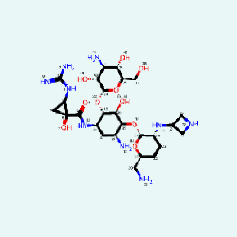 N=C(N)NC1CC1(O)C(=O)N[C@@H]1C[C@H](N)C(O[C@H]2O[C@H](CN)CC[C@H]2NC2CNC2)[C@H](O)[C@H]1O[C@H]1O[C@H](CO)[C@@H](O)[C@H](N)[C@H]1O